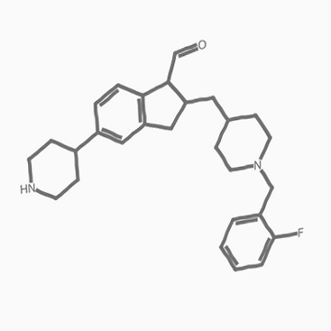 O=CC1c2ccc(C3CCNCC3)cc2CC1CC1CCN(Cc2ccccc2F)CC1